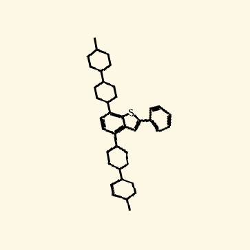 CC1CCC(C2CCC(c3ccc(C4CCC(C5CCC(C)CC5)CC4)c4sc(-c5ccccc5)cc34)CC2)CC1